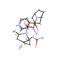 N#C[C@@H]1C[C@@H]2C[C@@]2(OC(=O)C(F)(F)F)N1C(=O)[C@H](N)C1CC2CCC(C1)N2C(=O)c1ccnc(F)c1